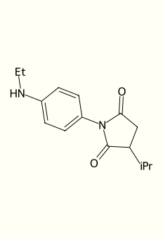 CCNc1ccc(N2C(=O)CC(C(C)C)C2=O)cc1